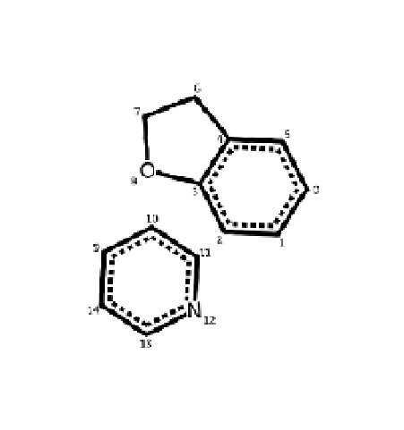 c1ccc2c(c1)CCO2.c1ccncc1